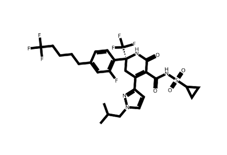 CC(C)Cn1ccc(C2=C(C(=O)NS(=O)(=O)C3CC3)C(=O)N[C@@](c3ccc(CCCCC(F)(F)F)cc3F)(C(F)(F)F)C2)n1